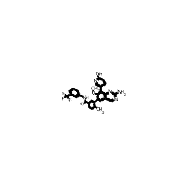 COc1c(-c2cc(C(=O)Nc3cccc(C(F)(F)F)c3)ccc2C)cc2cnc(N)nc2c1-c1ccc(O)nc1